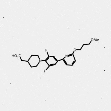 COCCCOc1cccc(-c2cc(F)c(N3CCC(CC(=O)O)CC3)c(F)c2)n1